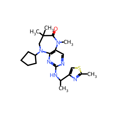 Cc1nc(C(C)Nc2ncc3c(n2)N(C2CCCC2)CC(C)(C)C(=O)N3C)cs1